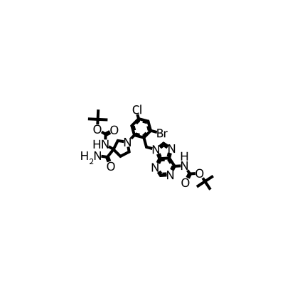 CC(C)(C)OC(=O)Nc1ncnc2c1ncn2Cc1c(Br)cc(Cl)cc1N1CCC(NC(=O)OC(C)(C)C)(C(N)=O)C1